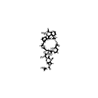 CCn1c(-c2cccnc2[C@H](C)OC)c2c3cc(ccc31)-c1csc(n1)C[C@H](NC(=O)[C@H](C(C)C)N(C)C(=O)N(C)C1CN(C(=O)[C@@H]3CN3)C1)C(=O)N1CCC[C@H](N1)C(=O)OCC(C)(C)C2